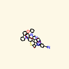 N#Cc1ccc2c(c1)c1ccccc1n2-c1cccc2c1C1(c3ccc(-n4c5ccccc5c5ccccc54)cc3S2)c2cccnc2-c2ncc(N3c4ccccc4Oc4ccccc43)cc21